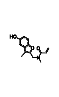 C=CC(=O)N(C)Cc1oc2ccc(O)cc2c1C